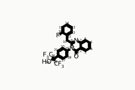 O=c1c2ccccc2nc(Cc2ccccc2F)n1-c1ccc(C(O)(C(F)(F)F)C(F)(F)F)cc1